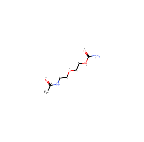 NC(=O)OCCOCCNC(=O)C(F)(F)F